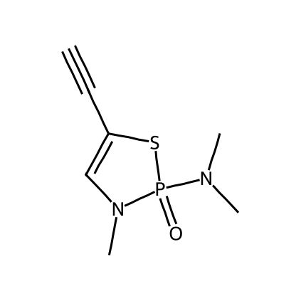 C#CC1=CN(C)P(=O)(N(C)C)S1